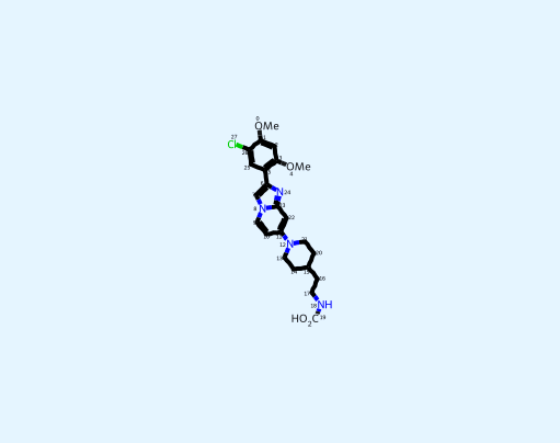 COc1cc(OC)c(-c2cn3ccc(N4CCC(CCNC(=O)O)CC4)cc3n2)cc1Cl